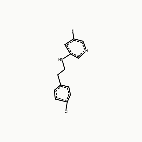 Clc1ccc(CCNc2cncc(Br)c2)cc1